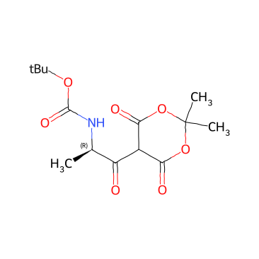 C[C@@H](NC(=O)OC(C)(C)C)C(=O)C1C(=O)OC(C)(C)OC1=O